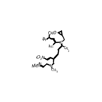 CNCCN(C)CC(/C=C/[N+](=O)[O-])=C/C=C(\C)P(CC1CC1)C(CC(C=O)C(C)C)C(C)=O